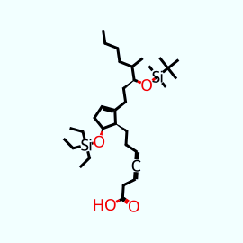 CCCCC(C)[C@H](CCC1=CC[C@H](O[Si](CC)(CC)CC)[C@@H]1CCC=C=CCC(=O)O)O[Si](C)(C)C(C)(C)C